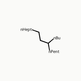 [CH2]CCCCC(CCCC)CCCCCCCCC